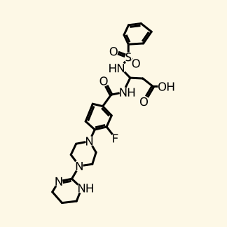 O=C(O)CC(NC(=O)c1ccc(N2CCN(C3=NCCCN3)CC2)c(F)c1)NS(=O)(=O)c1ccccc1